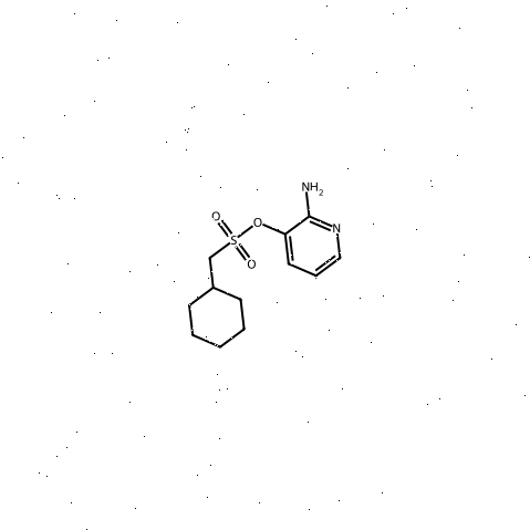 Nc1nc[c]cc1OS(=O)(=O)CC1CCCCC1